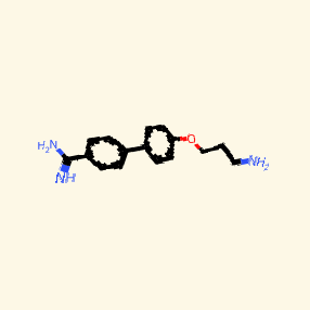 N=C(N)c1ccc(-c2ccc(OCCCN)cc2)cc1